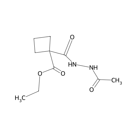 CCOC(=O)C1(C(=O)NNC(C)=O)CCC1